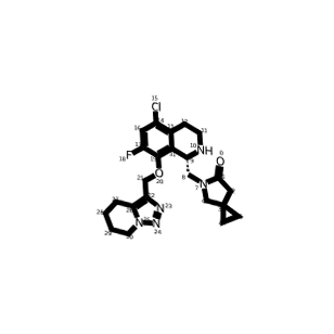 O=C1CC2(CC2)CN1C[C@H]1NCCc2c(Cl)cc(F)c(OCc3nnn4c3CCCC4)c21